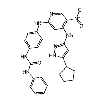 O=C(Nc1ccccc1)Nc1ccc(Nc2cc(Nc3cc(C4CCCC4)[nH]n3)c([N+](=O)[O-])cn2)cc1